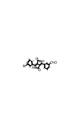 O=Cc1cccc(C2=C3C(=O)NC(c4cccc(Br)c4)=C3C(=O)N2)c1